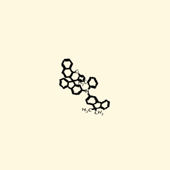 Cc1ccccc1N(c1ccc2c(c1)-c1ccccc1C2(C)C)c1ccc2c(c1)C1(c3ccccc3Oc3c1ccc1ccccc31)c1ccccc1-2